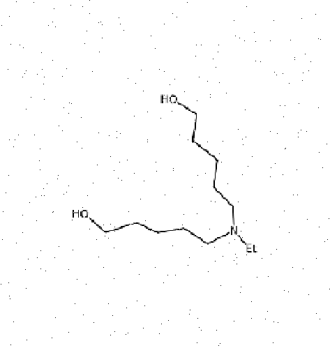 CCN(CCCCCO)CCCCCO